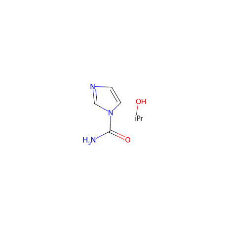 CC(C)O.NC(=O)n1ccnc1